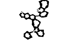 c1ccc(-n2c3ccccc3c3cc4c(-c5cccc6c5sc5ccccc56)cc5cc6sccc6cc5c4cc32)cc1